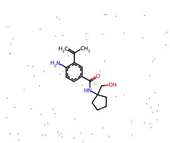 C=C(C)c1cc(C(=O)NC2(CO)CCCC2)ccc1N